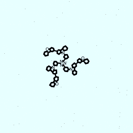 c1cc(-c2nc(-c3cccc(-n4c5ccccc5c5cc(-c6ccc7oc8ccccc8c7c6)ccc54)c3)nc(-c3cccc(-n4c5ccccc5c5cc(-c6ccc7oc8ccccc8c7c6)ccc54)c3)n2)cc(-n2c3ccccc3c3cc(-c4ccc5oc6ccccc6c5c4)ccc32)c1